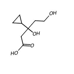 O=C(O)CC(O)(CCO)C1CC1